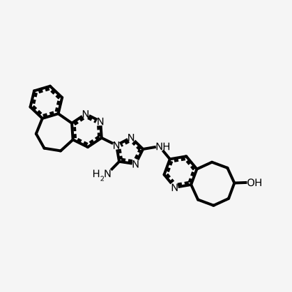 Nc1nc(Nc2cnc3c(c2)CCC(O)CCC3)nn1-c1cc2c(nn1)-c1ccccc1CCC2